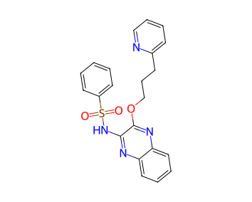 O=S(=O)(Nc1nc2ccccc2nc1OCCCc1ccccn1)c1ccccc1